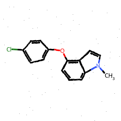 Cn1ccc2c(Oc3ccc(Cl)cc3)cccc21